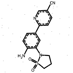 N#Cc1ccc(-c2ccc(N)c(N3CCCS3(=O)=O)c2)nc1